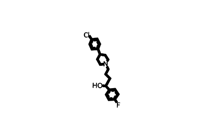 OC(CCCN1CCC(c2ccc(Cl)cc2)CC1)c1ccc(F)cc1